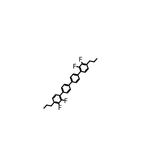 CCCc1ccc(-c2ccc(-c3ccc(-c4ccc(CCC)c(F)c4F)cc3)cc2)c(F)c1F